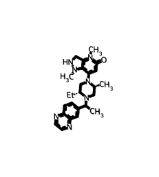 CC[C@@H]1CN(c2cc(=O)n(C)c3c2N(C)NC3)[C@@H](C)CN1C(C)c1ccc2nccnc2c1